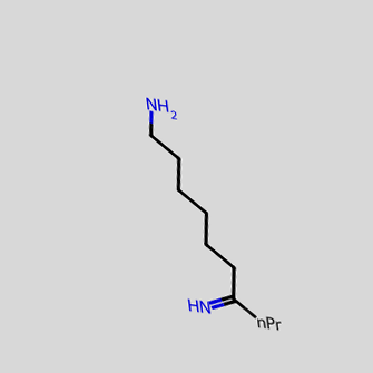 CCCC(=N)CCCCCCN